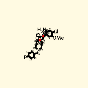 COc1cc(/C=C/C(=O)N2C3CN(Cc4ccc(F)cc4)CC2CN(C(=O)OC(C)(C)C)C3)c(N)cc1Cl